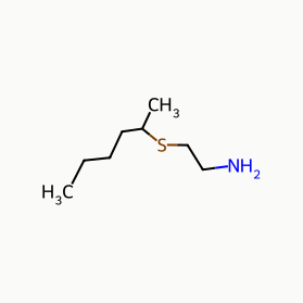 CCCCC(C)SCCN